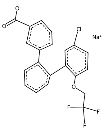 O=C([O-])c1cccc(-c2ccccc2-c2cc(Cl)ccc2OCC(F)(F)F)c1.[Na+]